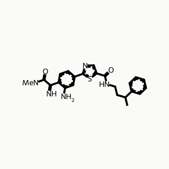 CNC(=O)C(=N)c1ccc(-c2ncc(C(=O)NCCC(C)c3ccccc3)s2)cc1N